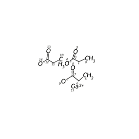 CCC(=O)[O-].CCC(=O)[O-].CCC(=O)[O-].[Ga+3]